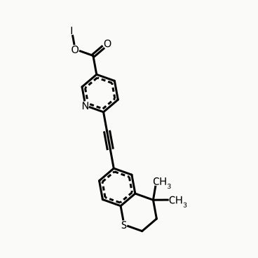 CC1(C)CCSc2ccc(C#Cc3ccc(C(=O)OI)cn3)cc21